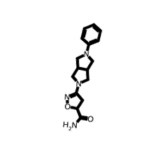 NC(=O)C1CC(N2CC3CN(c4ccccc4)CC3C2)=NO1